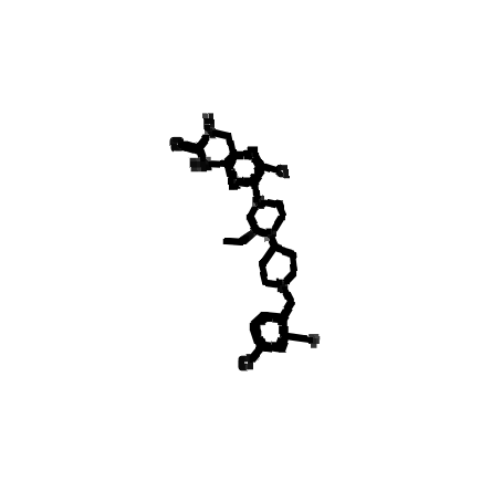 CC[C@H]1CN(c2nc3c(nc2Cl)CNC(=O)N3)CCN1C1CCN(Cc2ccc(Cl)cc2F)CC1